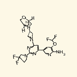 Nc1ncc(-c2cc(N3CC(N4C[C@@H]5C[C@H]4CO5)C3)nc(N3CCC(F)(F)C3)n2)cc1OC(F)F